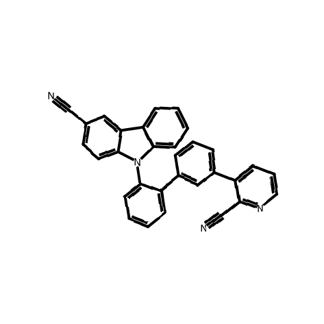 N#Cc1ccc2c(c1)c1ccccc1n2-c1ccccc1-c1cccc(-c2cccnc2C#N)c1